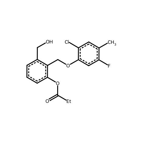 CCC(=O)Oc1cccc(CO)c1COc1cc(F)c(C)cc1Cl